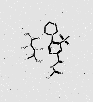 CS(=O)(=O)c1cc(C(=O)NC(=N)N)ccc1N1CCCCC1.O=C[C@H](O)[C@@H](O)[C@H](O)[C@H](O)C(=O)O